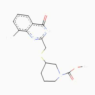 Cc1cccc2c(=O)[nH]c(CSC3CCCN(C(=O)OC(C)(C)C)C3)nc12